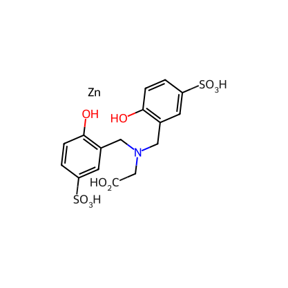 O=C(O)CN(Cc1cc(S(=O)(=O)O)ccc1O)Cc1cc(S(=O)(=O)O)ccc1O.[Zn]